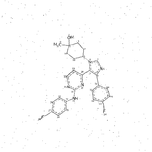 CC1(O)CCC(n2cnc(-c3ccc(F)cc3)c2-c2ccnc(Nc3ccc(F)cc3)n2)CC1